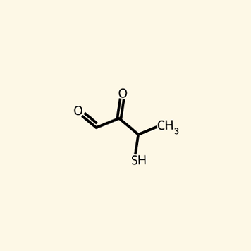 CC(S)C(=O)C=O